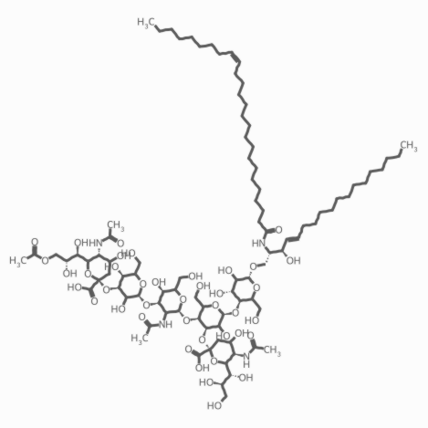 CCCCCCCC/C=C\CCCCCCCCCCCCCCCC(=O)N[C@@H](CO[C@@H]1OC(CO)[C@@H](O[C@@H]2OC(CO)[C@H](O[C@@H]3OC(CO)[C@H](O)[C@H](O[C@@H]4OC(CO)[C@H](O)[C@H](O[C@]5(C(=O)O)CC(O)[C@@H](NC(C)=O)C([C@H](O)[C@H](O)COC(C)=O)O5)C4O)C3NC(C)=O)[C@H](O[C@]3(C(=O)O)CC(O)[C@@H](NC(C)=O)C([C@H](O)[C@H](O)CO)O3)C2O)[C@H](O)C1O)[C@H](O)/C=C/CCCCCCCCCCCCC